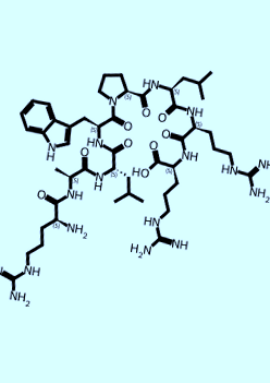 CC(C)C[C@H](NC(=O)[C@H](C)NC(=O)[C@@H](N)CCCNC(=N)N)C(=O)N[C@@H](Cc1c[nH]c2ccccc12)C(=O)N1CCC[C@H]1C(=O)N[C@@H](CC(C)C)C(=O)N[C@@H](CCCNC(=N)N)C(=O)N[C@@H](CCCNC(=N)N)C(=O)O